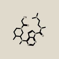 CC1CCN(C(=O)CC#N)CC1N(C)c1ncnc2c1ccn2C(=O)N(C)CCN(C)C